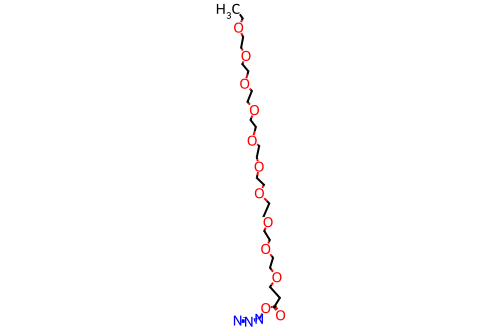 CCOCCOCCOCCOCCOCCOCCOCCOCCOCCOCCC(=O)ON=[N+]=[N-]